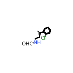 C[C@H](CCNC=O)c1ccccc1Cl